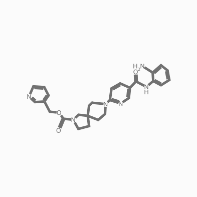 Nc1ccccc1NC(=O)c1ccc(N2CCC3(CCN(C(=O)OCc4cccnc4)C3)CC2)nc1